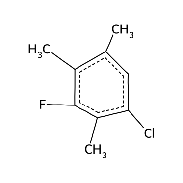 Cc1cc(Cl)c(C)c(F)c1C